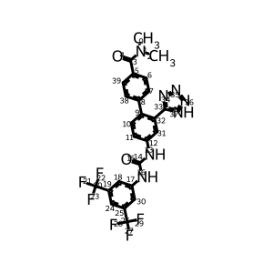 CN(C)C(=O)c1ccc(-c2ccc(NC(=O)Nc3cc(C(F)(F)F)cc(C(F)(F)F)c3)cc2-c2nnn[nH]2)cc1